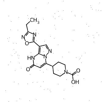 CCc1noc(-c2cnn3c(C4CCN(C(=O)O)CC4)cc(=O)[nH]c23)n1